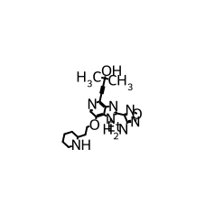 CCn1c(-c2nonc2N)nc2c(C#CC(C)(C)O)ncc(OCCC3CCCCN3)c21